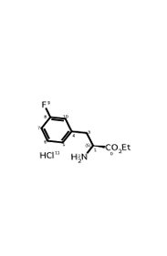 CCOC(=O)[C@@H](N)Cc1cccc(F)c1.Cl